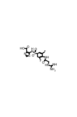 N=C(N)NCC(=O)NC1=C(F)CC(S(=O)(=O)Nc2scnc2C(=O)O)C=C1F